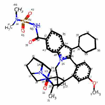 COc1ccc2c(c1)C1CC1(C(=O)N1C3CCC1CN(C(C)C)C3)Cn1c-2c(C2CCCCC2)c2ccc(C(=O)NS(=O)(=O)N(C)C)cc21